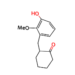 COc1c(O)cccc1CC1CCCCC1=O